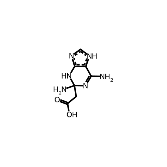 NC1=NC(N)(CC(=O)O)Nc2nc[nH]c21